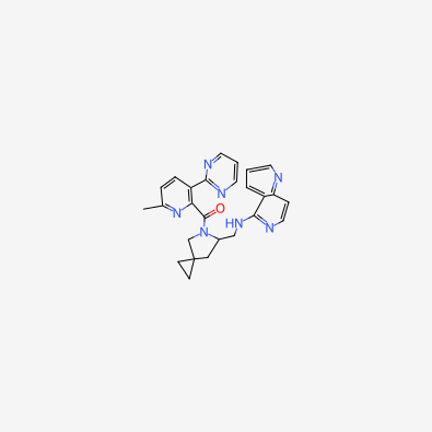 Cc1ccc(-c2ncccn2)c(C(=O)N2CC3(CC3)CC2CNc2nccc3ncccc23)n1